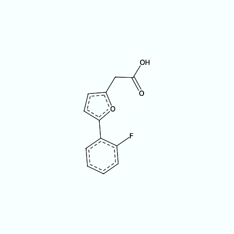 O=C(O)Cc1ccc(-c2ccccc2F)o1